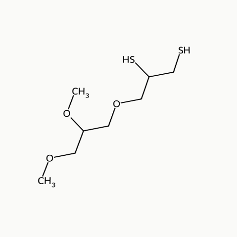 COCC(COCC(S)CS)OC